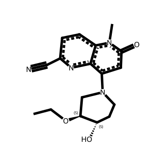 CCO[C@H]1CN(c2cc(=O)n(C)c3ccc(C#N)nc23)CC[C@@H]1O